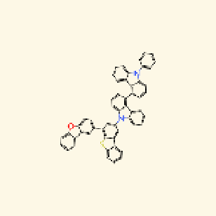 c1ccc(-n2c3ccccc3c3c(-c4cccc5c4c4ccccc4n5-c4cc(-c5ccc6oc7ccccc7c6c5)c5sc6ccccc6c5c4)cccc32)cc1